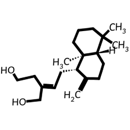 C=C1CC[C@H]2C(C)(C)CCC[C@]2(C)[C@H]1C/C=C(/CO)CCO